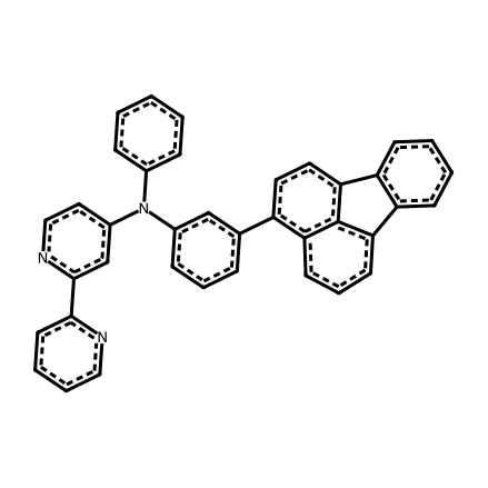 c1ccc(N(c2cccc(-c3ccc4c5c(cccc35)-c3ccccc3-4)c2)c2ccnc(-c3ccccn3)c2)cc1